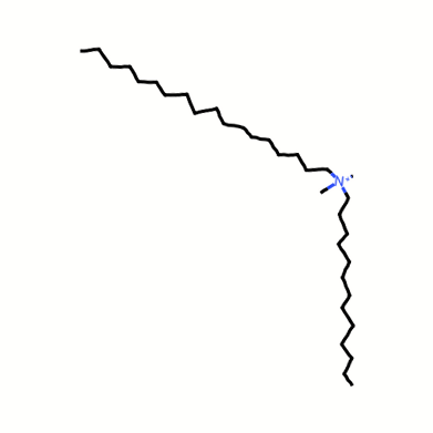 CCCCCCCCCCCCCCCCCC[N+](C)(C)CCCCCCCCCCCCC